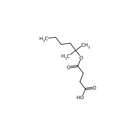 CCCCC(C)(C)OC(=O)CCC(=O)O